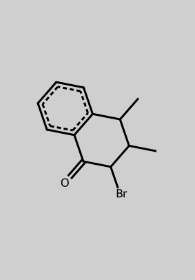 CC1c2ccccc2C(=O)C(Br)C1C